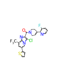 O=C(c1nc2c(C(F)(F)F)cc(-c3cccs3)cn2c1Cl)N1CC=C(c2ncccc2F)CC1